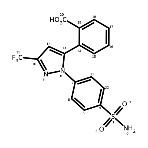 NS(=O)(=O)c1ccc(-n2nc(C(F)(F)F)cc2-c2ccccc2C(=O)O)cc1